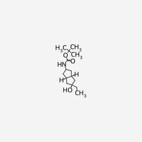 CC[C@@]1(O)C[C@H]2CC(NC(=O)OC(C)(C)C)C[C@H]2C1